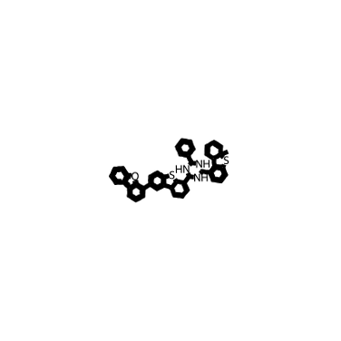 CC12C=CC=CC1c1c(CNC(NC(N)c3ccccc3)C3=CC=CC4c5cc(-c6cccc7c6oc6ccccc67)ccc5SC34)cccc1S2